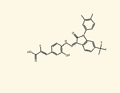 Cc1ccc(N2C(=O)/C(=N\Nc3ccc(C=C(F)C(=O)O)cc3O)c3ccc(C(F)(F)F)cc32)cc1C